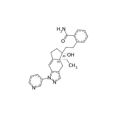 CC[C@]12Cc3cnn(-c4cccnc4)c3C=C1CC[C@@]2(O)CCc1ccccc1C(N)=O